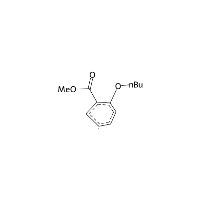 CCCCOc1cc[c]cc1C(=O)OC